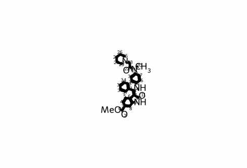 COC(=O)c1ccc2c(c1)NC(=O)/C2=C(\Nc1ccc(N(C)C(=O)CN2CCCCC2)cc1)c1ccccc1